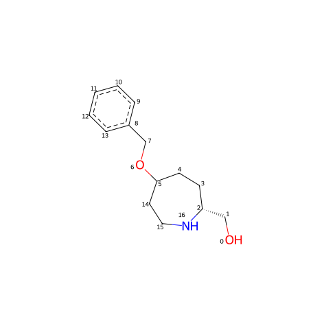 OC[C@H]1CCC(OCc2ccccc2)CCN1